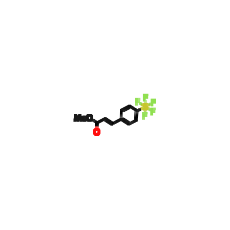 COC(=O)C=Cc1ccc(S(F)(F)(F)(F)F)cc1